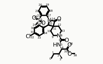 CC[C@H](C)[C@H](NC(=O)N1CCC2(CC1)C(=O)N(c1ccccc1S(C)(=O)=O)C2c1ccc(Cl)cc1)C(=O)OC